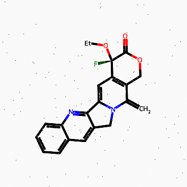 C=C1C2=C(C=C3c4nc5ccccc5cc4CN13)[C@](F)(OCC)C(=O)OC2